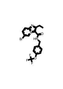 CCc1nc2ccc(Br)cn2c1C(=O)NCc1ccc(OC(F)(F)F)cc1